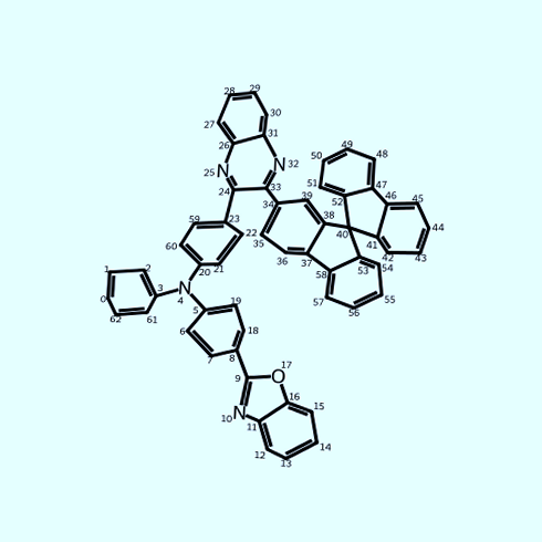 c1ccc(N(c2ccc(-c3nc4ccccc4o3)cc2)c2ccc(-c3nc4ccccc4nc3-c3ccc4c(c3)C3(c5ccccc5-c5ccccc53)c3ccccc3-4)cc2)cc1